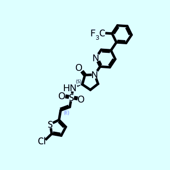 O=C1[C@@H](NS(=O)(=O)/C=C/c2ccc(Cl)s2)CCN1c1ccc(-c2ccccc2C(F)(F)F)cn1